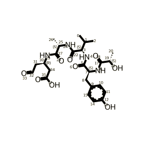 CC(C)[C@H](NC(=O)[C@H](Cc1ccc(O)cc1)NC(=O)[C@H](C)O)C(=O)N[C@@H](C)C(=O)N[C@H](CC=O)CC(=O)O